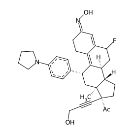 CC(=O)[C@@]1(C#CCO)CC[C@H]2[C@@H]3CC(F)C4=CC(=NO)CCC4=C3[C@@H](c3ccc(N4CCCC4)cc3)C[C@@]21C